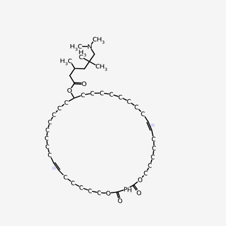 CC(CC(=O)OC1CCCCCCCC/C=C\CCCCCOC(=O)PC(=O)OCCCCC/C=C\CCCCCCCC1)CC(C)(C)CN(C)C